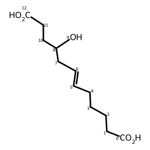 O=C(O)CCCC/C=C/CC(O)CCC(=O)O